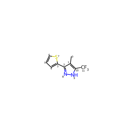 Cc1c(-c2cccs2)n[nH]c1C(F)(F)F